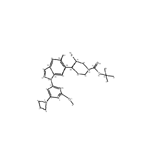 COc1nc(N2CCC2)cc(-n2ncc3cc(C)c(C4CCN(C(=O)OC(C)(C)C)CC4F)cc32)n1